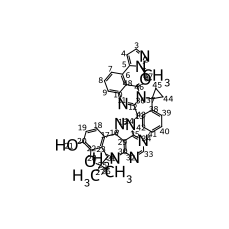 Cn1nccc1-c1cccc2nc(Cn3nc(-c4ccc(O)c5c4CC(C)(C)O5)c4c(N)ncnc43)n(C3(c4ccccc4)CC3)c(=O)c12